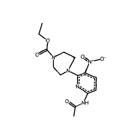 CCOC(=O)N1CCN(c2nc(NC(C)=O)ccc2[N+](=O)[O-])CC1